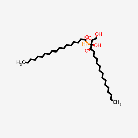 CCCCCCCCC=CCCCCCCCC(=O)PC(O)(C(=O)CCCCCCCCCCCCCCC)C(O)CO